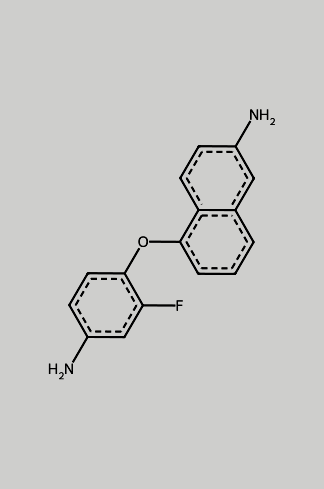 Nc1ccc(Oc2cccc3cc(N)ccc23)c(F)c1